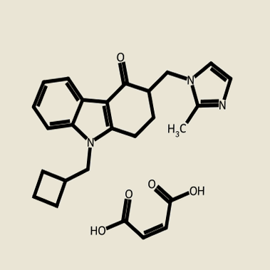 Cc1nccn1CC1CCc2c(c3ccccc3n2CC2CCC2)C1=O.O=C(O)/C=C\C(=O)O